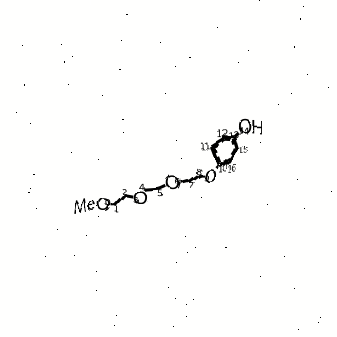 COCCOCCOCCOc1ccc(O)cc1